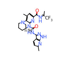 Cc1ccc2c(NC(=O)N3c4nc(C(=O)N[C@H](C)C(F)(F)F)cc(C)c4N4CCC[C@H]3C4)n[nH]c2n1